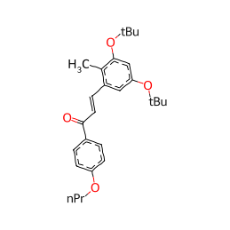 CCCOc1ccc(C(=O)C=Cc2cc(OC(C)(C)C)cc(OC(C)(C)C)c2C)cc1